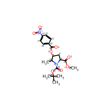 COC(=O)C1C[C@H](OC(=O)c2ccc([N+](=O)[O-])cc2)C(C)N1C(=O)OC(C)(C)C